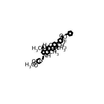 C=C(C)[C@@H]1CC[C@]2(NCCN3CCC(S(C)(=O)=O)CC3)CC[C@]3(C)[C@H](CCC4[C@@]5(C)CC=C(C6=CC[C@](CF)(C(=O)OCc7ccccc7)CC6)C(C)(C)[C@@H]5CC[C@]43C)C12